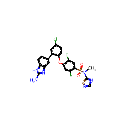 CN(c1ncns1)S(=O)(=O)c1cc(F)c(Oc2ccc(Cl)cc2-c2ccc3[nH]c(N)nc3c2)cc1F